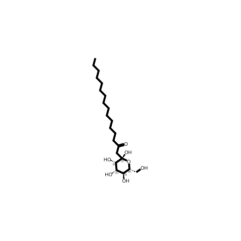 CCCCCCCCCCCCCCC(=O)C[C@]1(O)O[C@H](CO)[C@@H](O)[C@H](O)[C@@H]1O